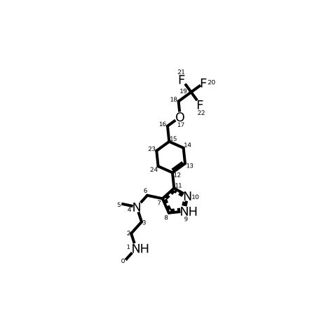 CNCCN(C)Cc1c[nH]nc1C1=CCC(COCC(F)(F)F)CC1